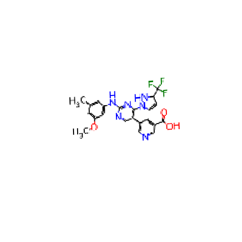 COc1cc(C)cc(Nc2ncc(-c3cncc(C(=O)O)c3)c(N3C=CC(C(F)(F)F)N3)n2)c1